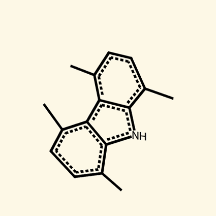 Cc1ccc(C)c2c1[nH]c1c(C)ccc(C)c12